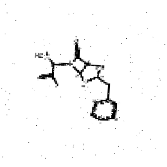 C=C(C)C(C(=O)O)N1C(=O)C2NC(Cc3ccccc3)SC21